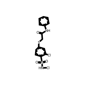 O=C(CSc1ccc(S(=O)(=O)NCl)c(Cl)c1)Nc1ccccc1